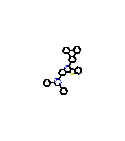 c1ccc(C2=NC(c3ccc4nc(-c5ccc6c7ccccc7c7ccccc7c6c5)c5c6ccccc6sc5c4c3)=NC(c3ccccc3)C2)cc1